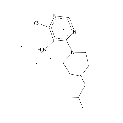 C[C](C)CN1CCN(c2ncnc(Cl)c2N)CC1